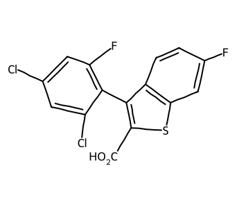 O=C(O)c1sc2cc(F)ccc2c1-c1c(F)cc(Cl)cc1Cl